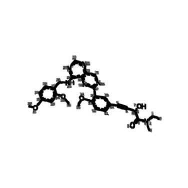 CCN(C)C(=O)[C@H](O)C#Cc1ccc(OC)c(-c2ncc3ncnc(NCc4ccc(OC)cc4OC)c3n2)c1